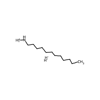 CCCCCCCCCCCC[NH][Hf].[H-].[H-]